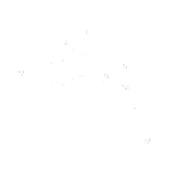 COc1ccc(CNc2nccc(-c3cc(N(C(=O)O)C(C)(C)C)c4cc(OC)ccc4c3)n2)cc1